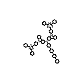 c1ccc(-c2ccc(-c3ccc(-c4ccc(N(c5ccc6c(c5)c5ccccc5n6-c5ccc(-c6nc(-c7ccccc7)nc(-c7ccccc7)n6)cc5)c5ccc6c(c5)c5ccccc5n6-c5ccc(-c6nc(-c7ccccc7)nc(-c7ccccc7)n6)cc5)cc4)cc3)cc2)cc1